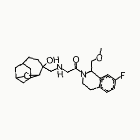 COCC1c2cc(F)ccc2CCN1C(=O)CNCC1(O)CCC2CC3CC(C2)C1C3